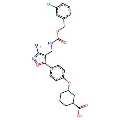 Cc1noc(-c2ccc(O[C@H]3CCC[C@H](C(=O)O)C3)cc2)c1CNC(=O)OCc1cccc(Cl)c1